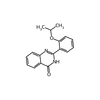 CC(C)Oc1ccccc1-c1nc2ccccc2c(=O)[nH]1